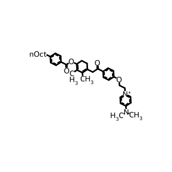 CCCCCCCCc1ccc(C(=O)OC2=C(C)C(C)=C(CC(=O)c3ccc(OCC[n+]4ccc(N(C)C)cc4)cc3)CC2)cc1